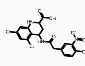 O=C(Cc1ccc(Cl)c([N+](=O)[O-])c1)NC1CC(C(=O)O)Nc2cc(Cl)cc(Cl)c21